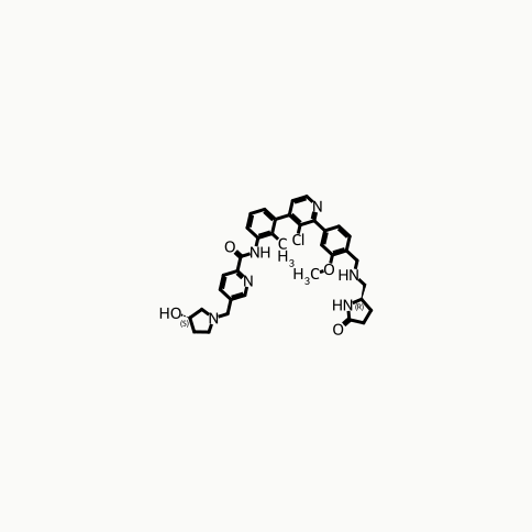 COc1cc(-c2nccc(-c3cccc(NC(=O)c4ccc(CN5CC[C@H](O)C5)cn4)c3C)c2Cl)ccc1CNC[C@H]1CCC(=O)N1